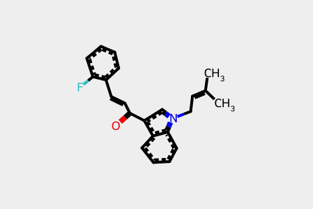 CC(C)=CCn1cc(C(=O)/C=C/c2ccccc2F)c2ccccc21